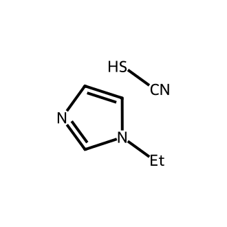 CCn1ccnc1.N#CS